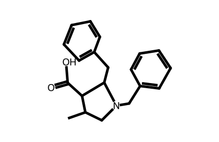 CC1CN(Cc2ccccc2)C(Cc2ccccc2)C1C(=O)O